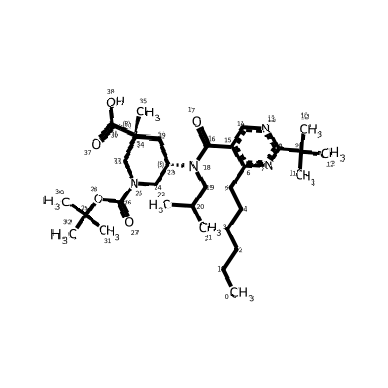 CCCCCCc1nc(C(C)(C)C)ncc1C(=O)N(CC(C)C)[C@@H]1CN(C(=O)OC(C)(C)C)C[C@](C)(C(=O)O)C1